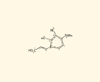 CNc1ccc(C=CC(=O)O)c(C#N)c1C#N